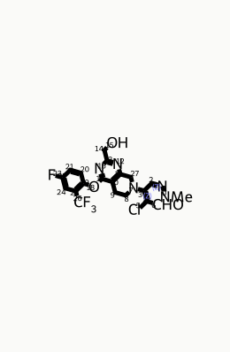 CN/N=C\C(=C(\Cl)C=O)N1CCc2c(nc(CO)nc2Oc2ccc(F)cc2C(F)(F)F)C1